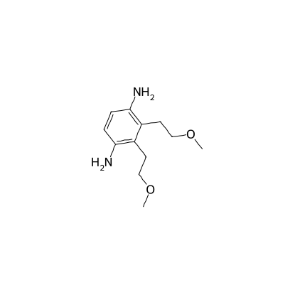 COCCc1c(N)ccc(N)c1CCOC